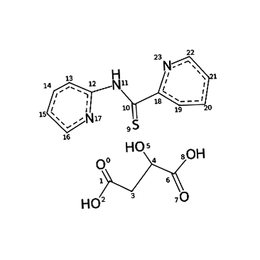 O=C(O)CC(O)C(=O)O.S=C(Nc1ccccn1)c1ccccn1